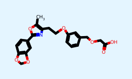 Cc1oc(-c2ccc3c(c2)OCO3)nc1CCOc1cccc(COCC(=O)O)c1